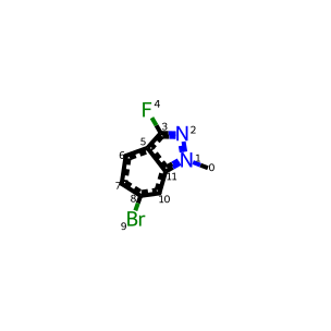 Cn1nc(F)c2ccc(Br)cc21